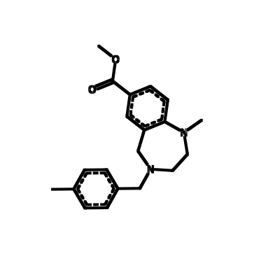 COC(=O)c1ccc2c(c1)CN(Cc1ccc(C)cc1)CCN2C